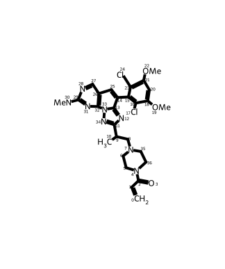 C=CC(=O)N1CCN(CC(C)c2nc3c(-c4c(Cl)c(OC)cc(OC)c4Cl)cc4cnc(NC)nc4n3n2)CC1